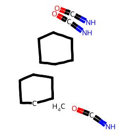 C.C1CCCCC1.C1CCCCC1.N=C=O.N=C=O.N=C=O